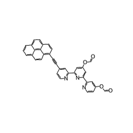 O=COc1ccnc(-c2cc(OC=O)cc(-c3cc(C#Cc4ccc5ccc6cccc7ccc4c5c67)ccn3)n2)c1